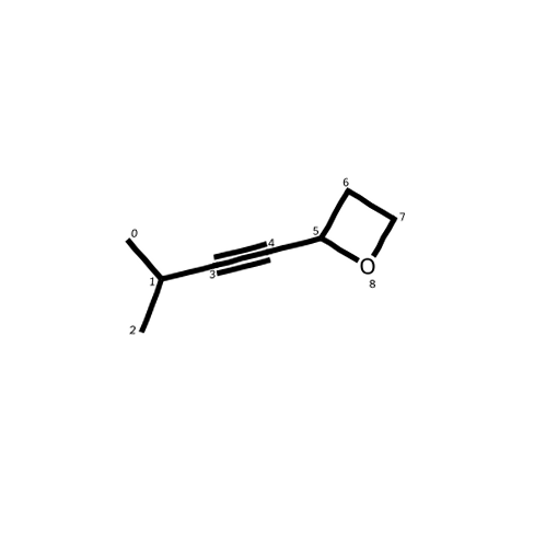 CC(C)C#CC1CCO1